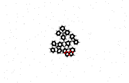 c1ccc(-c2ccccc2N2c3cc(-n4c5ccccc5c5ccccc54)cc4c3B(c3cc([Si](c5ccccc5)(c5ccccc5)c5ccccc5)ccc3N4c3ccc([Si](c4ccccc4)(c4ccccc4)c4ccccc4)cc3)c3cccc(-c4ccccc4)c32)cc1